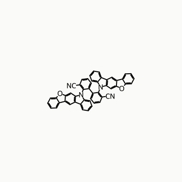 N#Cc1cccc(-c2cccc(C#N)c2-n2c3ccccc3c3cc4c(cc32)oc2ccccc24)c1-n1c2ccccc2c2cc3c(cc21)oc1ccccc13